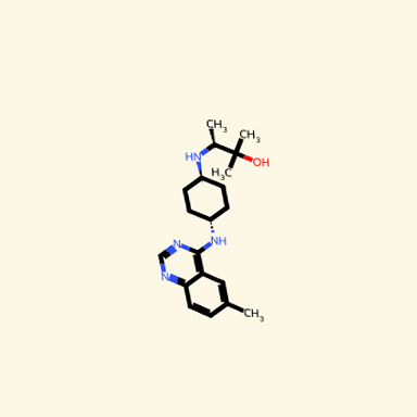 Cc1ccc2ncnc(N[C@H]3CC[C@H](N[C@@H](C)C(C)(C)O)CC3)c2c1